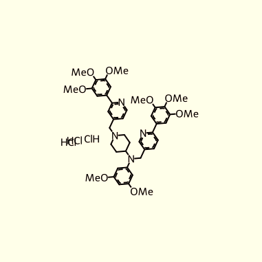 COc1cc(OC)cc(N(Cc2ccc(-c3cc(OC)c(OC)c(OC)c3)nc2)C2CCN(Cc3ccnc(-c4cc(OC)c(OC)c(OC)c4)c3)CC2)c1.Cl.Cl.Cl